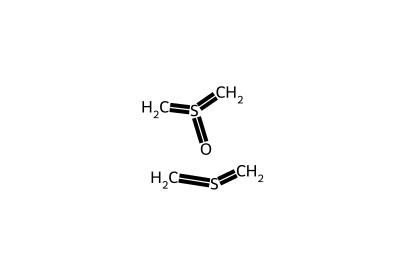 C=S(=C)=O.C=S=C